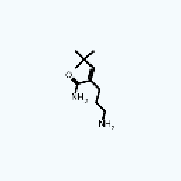 CC(C)(C)C=C(CCCN)C(N)=O